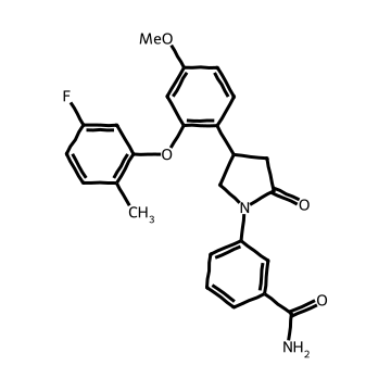 COc1ccc(C2CC(=O)N(c3cccc(C(N)=O)c3)C2)c(Oc2cc(F)ccc2C)c1